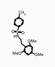 COc1cc(OC)c(CCNS(=O)(=O)c2ccc(C)cc2)c(OC)c1